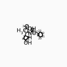 C[C@@]1([C@H](O)C(Cc2ccc(O)cc2)NC(=O)OCc2ccccc2)CO1